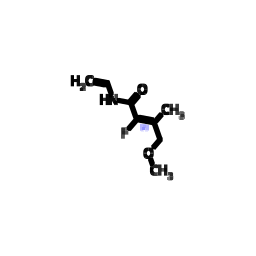 C=CNC(=O)/C(F)=C(\C)COC